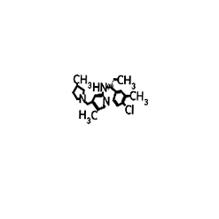 CC[C@@H](Nc1cc(CN2CCC(C)C2)c(C)cn1)c1ccc(Cl)c(C)c1